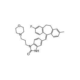 Cc1ccc2c(c1)CCc1cc(F)ccc1/C2=C\c1ccc2c(c1)[nH]c(=O)n2CCCN1CCOCC1